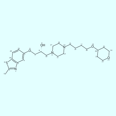 Cc1nc2cc(OC[C@H](O)CN3CCN(CCCCOC4CCOCC4)CC3)ccc2s1